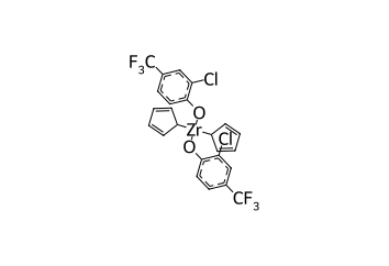 FC(F)(F)c1ccc([O][Zr]([O]c2ccc(C(F)(F)F)cc2Cl)([CH]2C=CC=C2)[CH]2C=CC=C2)c(Cl)c1